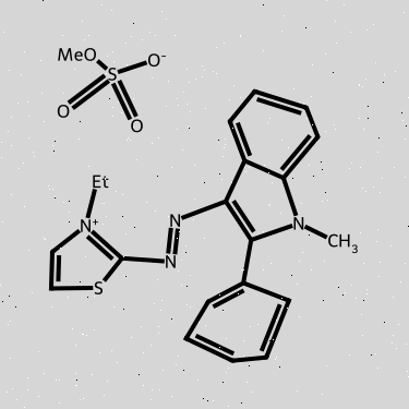 CC[n+]1ccsc1N=Nc1c(-c2ccccc2)n(C)c2ccccc12.COS(=O)(=O)[O-]